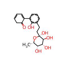 C[C@@H]1O[C@@](O)(CCc2cccc(C3=CC=CCC3=O)c2O)[C@@H](O)[C@H](O)[C@@H]1O